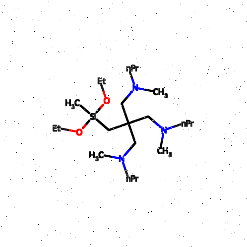 CCCN(C)CC(CN(C)CCC)(CN(C)CCC)C[Si](C)(OCC)OCC